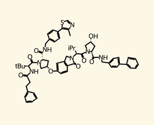 Cc1ncsc1-c1ccc(CNC(=O)[C@@H]2C[C@@H](Oc3ccc4c(c3)CN([C@H](C(=O)N3C[C@H](O)C[C@H]3C(=O)NCc3ccc(-c5ccccc5)cc3)C(C)C)C4=O)CN2C(=O)[C@@H](NC(=O)CCc2ccccc2)C(C)(C)C)cc1